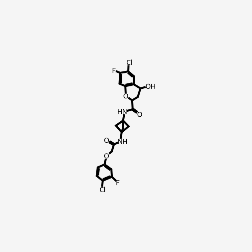 O=C(COc1ccc(Cl)c(F)c1)NC12CC(NC(=O)C3CC(O)c4cc(Cl)c(F)cc4O3)(C1)C2